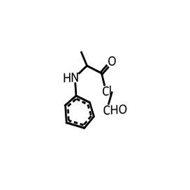 CC(Nc1ccccc1)C(=O)Cl.CC=O